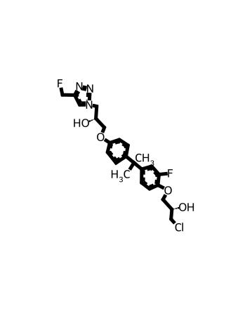 CC(C)(c1ccc(OC[C@H](O)Cn2cc(CF)nn2)cc1)c1ccc(OC[C@H](O)CCl)c(F)c1